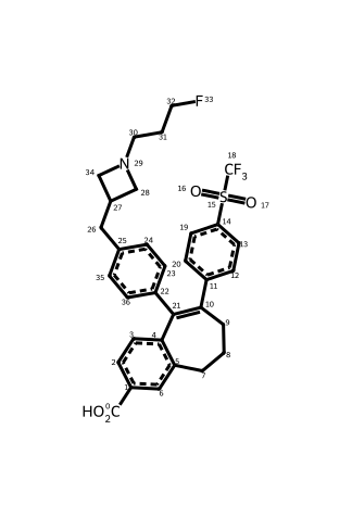 O=C(O)c1ccc2c(c1)CCCC(c1ccc(S(=O)(=O)C(F)(F)F)cc1)=C2c1ccc(CC2CN(CCCF)C2)cc1